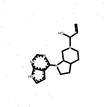 C=CC(O)N1CCC2CCN(c3ncnc4[nH]ccc34)C2C1